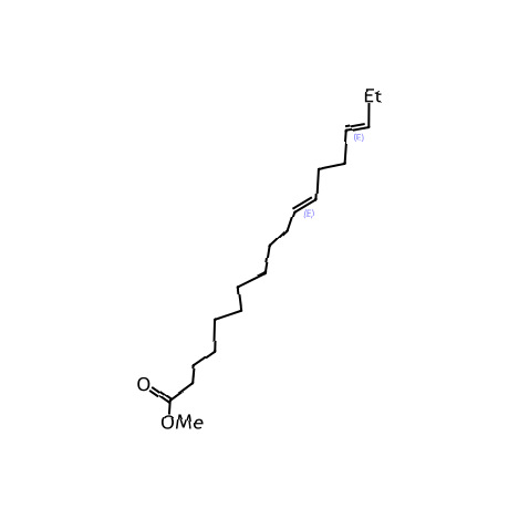 CC/C=C/CC/C=C/CCCCCCCCCC(=O)OC